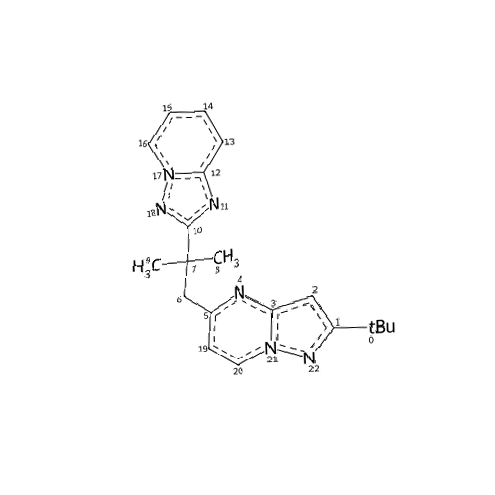 CC(C)(C)c1cc2nc(CC(C)(C)c3nc4ccccn4n3)ccn2n1